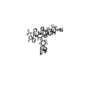 COC(=O)N(C(=O)C1CC1)c1cc(-c2ccc(OC(F)(F)F)cc2)cc(C(=O)N(Cc2ccc(C#N)cc2)C(=O)O)n1